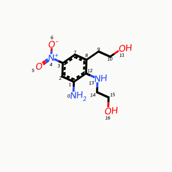 Nc1cc([N+](=O)[O-])cc(CCO)c1NCCO